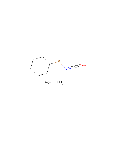 CC(C)=O.O=C=NSC1CCCCC1